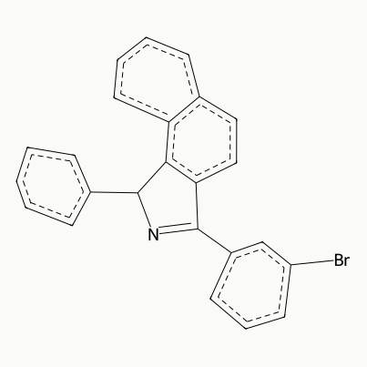 Brc1cccc(C2=NC(c3ccccc3)c3c2ccc2ccccc32)c1